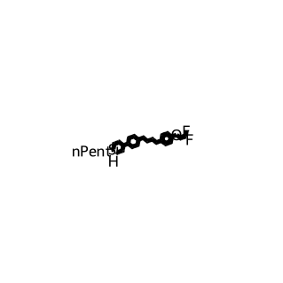 CCCCC[SiH]1CCC(C2CCC(CCCCc3ccc(OC=C(F)F)cc3)CC2)CC1